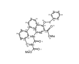 COC(=O)NC(=O)Nc1nc(C(=O)OC)c(OCc2ccccc2)c2cccc(-c3cccc(Cl)c3)c12